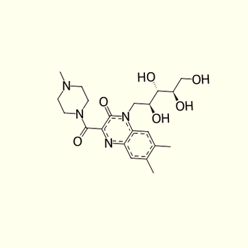 Cc1cc2nc(C(=O)N3CCN(C)CC3)c(=O)n(C[C@H](O)[C@H](O)[C@H](O)CO)c2cc1C